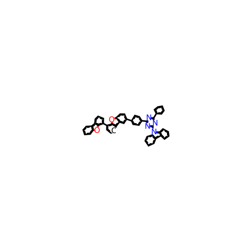 c1ccc(-c2nc(-c3ccc(-c4ccc5oc6c(-c7cccc8c7oc7ccccc78)cccc6c5c4)cc3)nc(-n3c4ccccc4c4ccccc43)n2)cc1